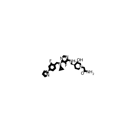 C[C@]1(O)CN(CC(N)=O)CC[C@H]1CNc1ncnc(N(Cc2ccc(-n3cccn3)cc2F)C2CC2)c1F